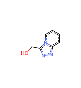 OCc1nnc2ccccn12